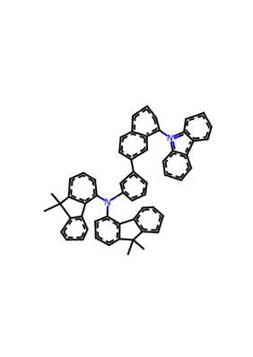 CC1(C)c2ccccc2-c2c(N(c3cccc(-c4ccc5cccc(-n6c7ccccc7c7ccccc76)c5c4)c3)c3cccc4c3-c3ccccc3C4(C)C)cccc21